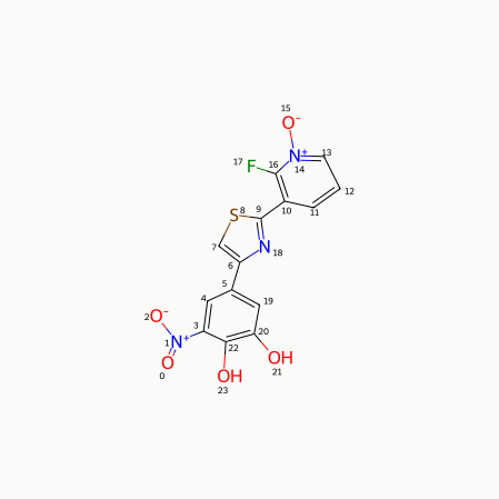 O=[N+]([O-])c1cc(-c2csc(-c3ccc[n+]([O-])c3F)n2)cc(O)c1O